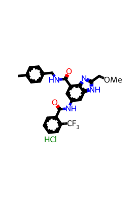 COCc1nc2c(C(=O)NCc3ccc(C)cc3)cc(NC(=O)c3ccccc3C(F)(F)F)cc2[nH]1.Cl